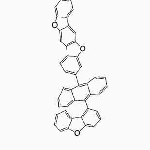 c1ccc2c(c1)oc1cc3c(cc12)oc1cc(-c2c4ccccc4c(-c4cccc5oc6ccccc6c45)c4ccccc24)ccc13